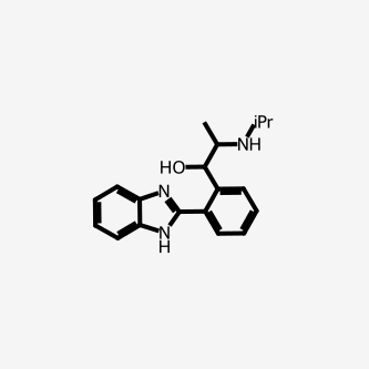 CC(C)NC(C)C(O)c1ccccc1-c1nc2ccccc2[nH]1